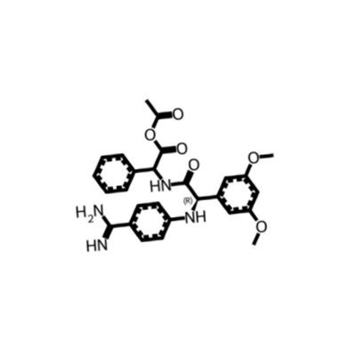 COc1cc(OC)cc([C@@H](Nc2ccc(C(=N)N)cc2)C(=O)NC(C(=O)OC(C)=O)c2ccccc2)c1